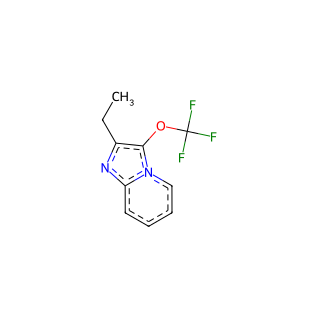 CCc1nc2ccccn2c1OC(F)(F)F